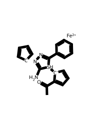 CC(=O)c1ccc[c-]1[SH]1C(N)=NN=C1c1ccccc1.[Fe+2].c1cc[cH-]c1